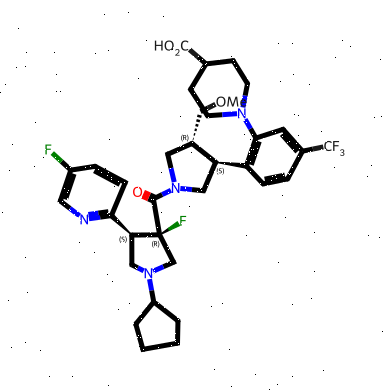 COC[C@H]1CN(C(=O)[C@]2(F)CN(C3CCCC3)C[C@H]2c2ccc(F)cn2)C[C@@H]1c1ccc(C(F)(F)F)cc1N1CCC(C(=O)O)CC1